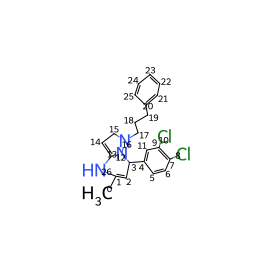 CC1=CC(c2ccc(Cl)c(Cl)c2)N2C(=CCN2CCCc2ccccc2)N1